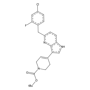 CC(C)(C)OC(=O)N1CC=C(c2c[nH]c3ccc(Cc4ccc(Cl)cc4F)nc23)CC1